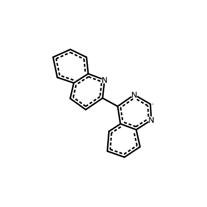 [c]1nc(-c2ccc3ccccc3n2)c2ccccc2n1